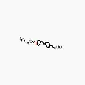 C=CCCOC1CCC(CCC2CCC(C=CCCCC)CC2)CC1